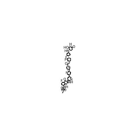 CCN(C)S(=O)(=O)Nc1ccc(F)c(C(=O)c2c[nH]c3ncc(-c4ccc(N5CCN(C(=O)CN6CC[C@@H](c7ccc(NC8CCC(=O)NC8O)cc7)C(F)(F)C6)CC5)nc4)cc23)c1F